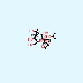 CC(C)O[C@@H]1OC2COC([C@@H]2O[C@@H]2OC(CO)C(O)[C@H]3C(C2O)C3(C)O)C1(O)O